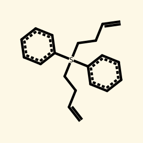 C=CCCS(CCC=C)(c1ccccc1)c1ccccc1